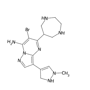 CN1C=C(c2cnn3c(N)c(Br)c(C4CNCCNC4)nc23)CN1